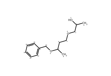 CC(O)COCCC(C)OCc1ccccc1